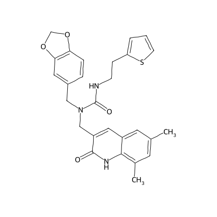 Cc1cc(C)c2[nH]c(=O)c(CN(Cc3ccc4c(c3)OCO4)C(=O)NCCc3cccs3)cc2c1